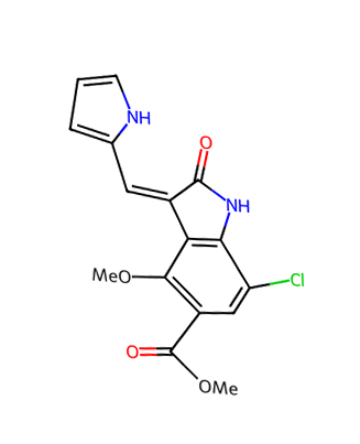 COC(=O)c1cc(Cl)c2c(c1OC)/C(=C/c1ccc[nH]1)C(=O)N2